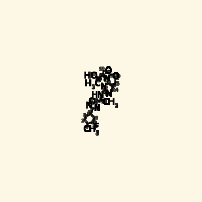 Cc1ccc(-c2noc([C@H](C)Nc3ncc(F)c(N4C(=O)OC[C@@H]4[C@@H](C)O)n3)n2)cc1F